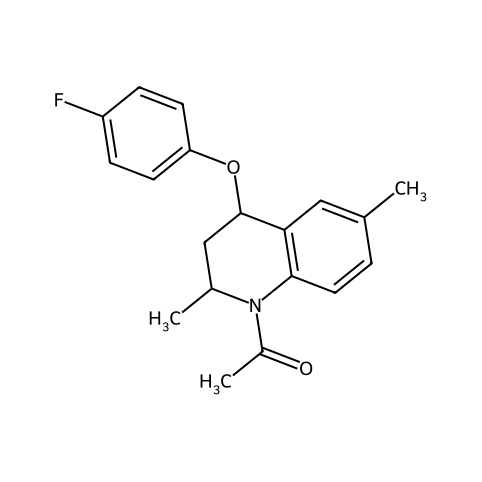 CC(=O)N1c2ccc(C)cc2C(Oc2ccc(F)cc2)CC1C